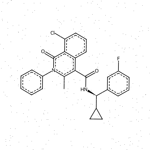 Cc1c(C(=O)N[C@@H](c2cccc(F)c2)C2CC2)c2cccc(Cl)c2c(=O)n1-c1ccccc1